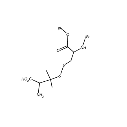 CC(C)NC(CSSC(C)(C)C(N)C(=O)O)C(=O)OC(C)C